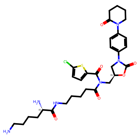 NCCCC[C@H](N)C(=O)NCCCCC(=O)N(C[C@H]1CN(c2ccc(N3CCCCC3=O)cc2)C(=O)O1)C(=O)c1ccc(Cl)s1